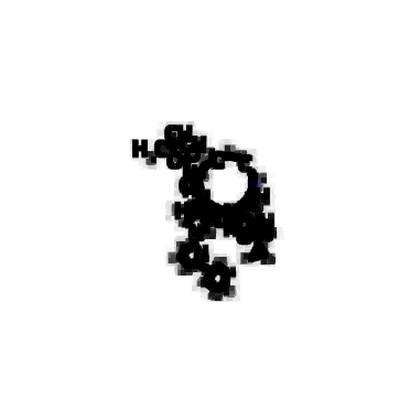 CC(C)(C)OC(=O)N[C@H]1CCCCC/C=C\[C@H]2C[C@@]2(C(=O)NS(=O)(=O)C2CC2)NC(=O)[C@@H]2[C@H]3CN(c4cccc(-c5ccccc5)n4)C[C@H]3CN2C1=O